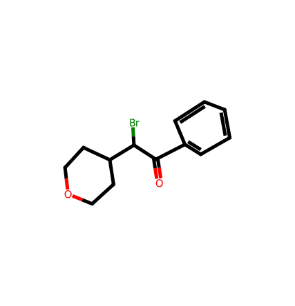 O=C(c1ccccc1)C(Br)C1CCOCC1